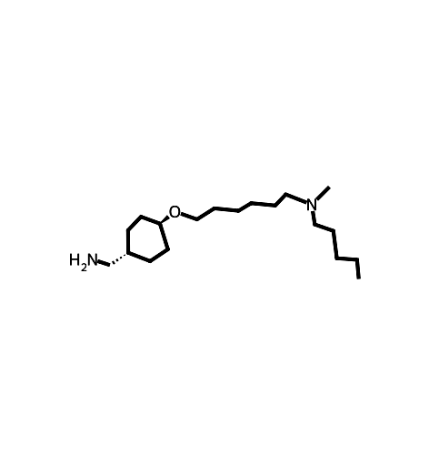 CCCCCN(C)CCCCCCO[C@H]1CC[C@H](CN)CC1